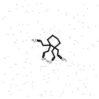 C=C[CH]C1(CC=C)CCCCC1(CC=C)CC=C